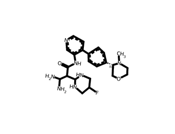 CN1CCOC[C@@H]1c1ccc(-c2ccncc2NC(=O)C(C(N)N)C2NCC(F)CN2)cc1